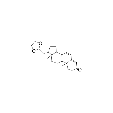 CC12CCC(=O)C=C1C=CC1C2CCC2(C)C(CC3OCCO3)CCC12